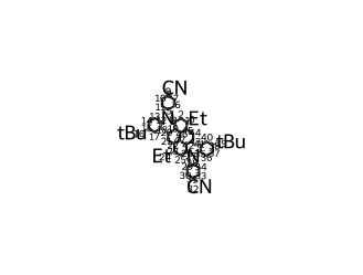 CCc1cc(N(c2ccc(C#N)cc2)c2ccc(C(C)(C)C)cc2)c2ccc3c(CC)cc(N(c4ccc(C#N)cc4)c4ccc(C(C)(C)C)cc4)c4ccc1c2c34